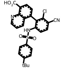 CC(C)(C)c1ccc(S(=O)(=O)Nc2ccc(C#N)c(Cl)c2-c2ccc(C(=O)O)c3ncccc23)cc1